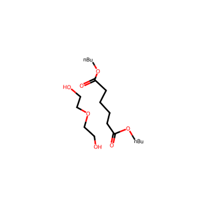 CCCCOC(=O)CCCCC(=O)OCCCC.OCCOCCO